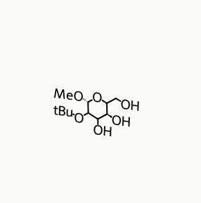 CO[C@@H]1OC(CO)[C@@H](O)C(O)C1OC(C)(C)C